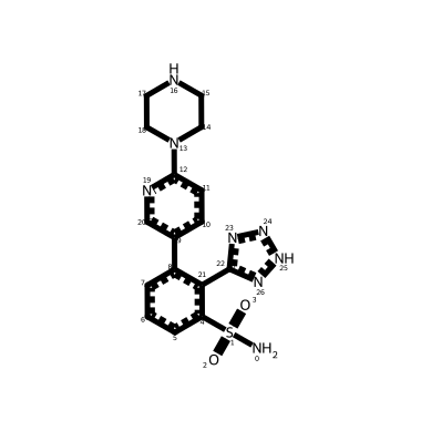 NS(=O)(=O)c1cccc(-c2ccc(N3CCNCC3)nc2)c1-c1nn[nH]n1